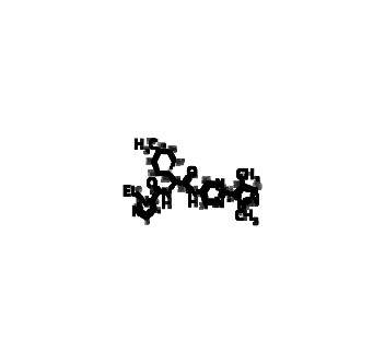 CCn1nccc1C(=O)N[C@H](C(=O)Nc1cnc(-c2c(C)cnn2C)nc1)[C@H]1CC[C@H](C)CC1